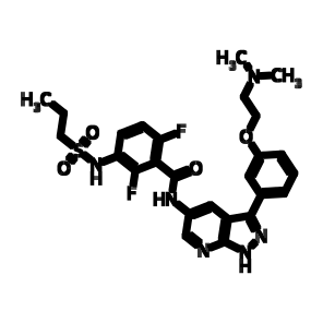 CCCS(=O)(=O)Nc1ccc(F)c(C(=O)Nc2cnc3[nH]nc(-c4cccc(OCCN(C)C)c4)c3c2)c1F